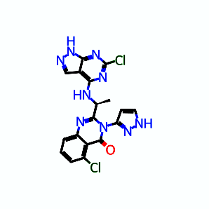 C[C@H](Nc1nc(Cl)nc2[nH]ncc12)c1nc2cccc(Cl)c2c(=O)n1-c1cc[nH]n1